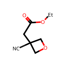 CCOC(=O)CC1(C#N)COC1